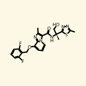 Cc1nnc([C@@](C)(CO)NC(=O)c2c(C)nc3c(OCc4c(F)cccc4F)cccn23)s1